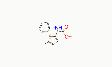 COC(=O)C(Nc1ccccc1)c1ccc(C)s1